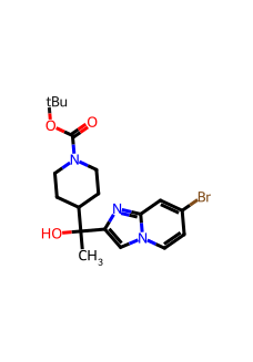 CC(C)(C)OC(=O)N1CCC(C(C)(O)c2cn3ccc(Br)cc3n2)CC1